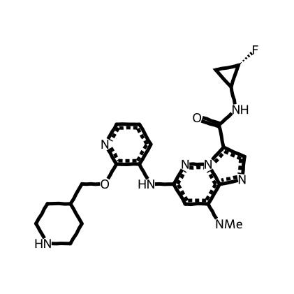 CNc1cc(Nc2cccnc2OCC2CCNCC2)nn2c(C(=O)NC3C[C@@H]3F)cnc12